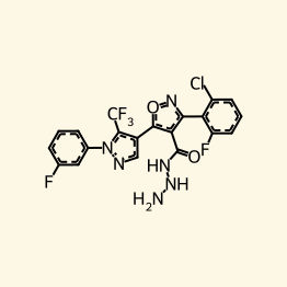 NNNC(=O)c1c(-c2c(F)cccc2Cl)noc1-c1cnn(-c2cccc(F)c2)c1C(F)(F)F